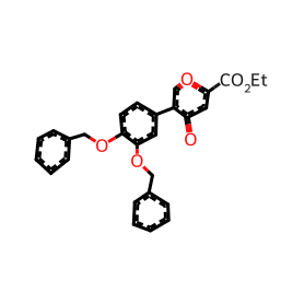 CCOC(=O)c1cc(=O)c(-c2ccc(OCc3ccccc3)c(OCc3ccccc3)c2)co1